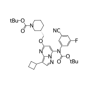 CC(C)(C)OC(=O)N1CCC[C@H](COc2cc(N(C(=O)OC(C)(C)C)c3cc(F)cc(C#N)c3)n3ncc(C4CCC4)c3n2)C1